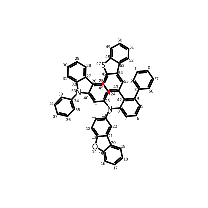 c1ccc(-c2cccc(N(c3ccc4oc5ccccc5c4c3)c3ccc4c5ccccc5n(-c5ccccc5)c4c3)c2-c2ccc3sc4ccccc4c3c2)cc1